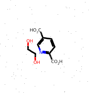 O=C(O)c1ccc(C(=O)O)nc1.OCCO